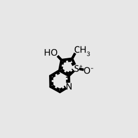 Cc1c(O)c2cccnc2[s+]1[O-]